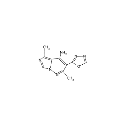 Cc1nn2cnc(C)c2c(N)c1-c1nnco1